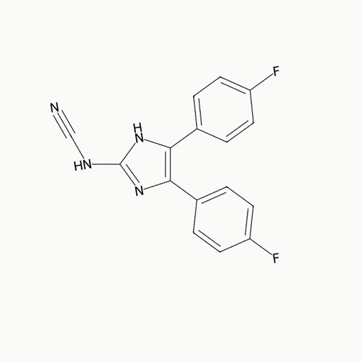 N#CNc1nc(-c2ccc(F)cc2)c(-c2ccc(F)cc2)[nH]1